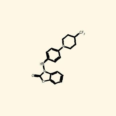 O=c1oc2ccccc2n1Nc1ccc(N2CCC(C(F)(F)F)CC2)cc1